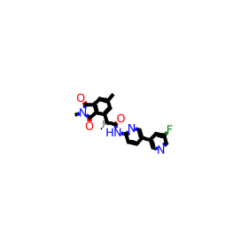 Cc1cc2c(c([C@@H](C)C(=O)Nc3ccc(-c4cncc(F)c4)cn3)c1)C(=O)N(C)C2=O